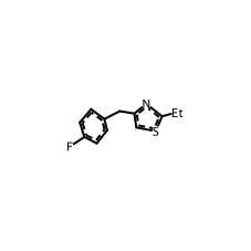 CCc1nc(Cc2ccc(F)cc2)cs1